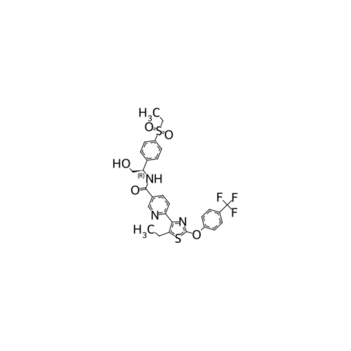 CCc1sc(Oc2ccc(C(F)(F)F)cc2)nc1-c1ccc(C(=O)N[C@@H](CO)c2ccc(S(=O)(=O)CC)cc2)cn1